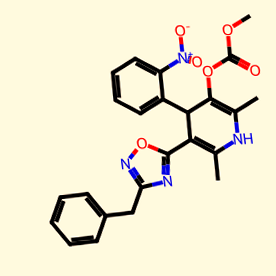 COC(=O)OC1=C(C)NC(C)=C(c2nc(Cc3ccccc3)no2)C1c1ccccc1[N+](=O)[O-]